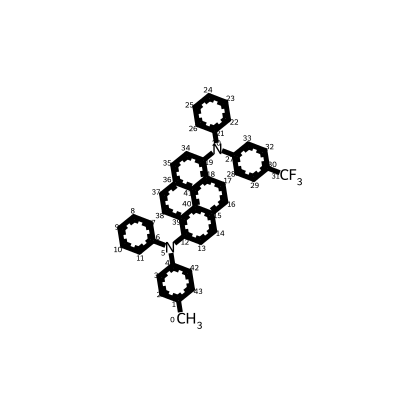 Cc1ccc(N(c2ccccc2)c2ccc3ccc4c(N(c5ccccc5)c5ccc(C(F)(F)F)cc5)ccc5ccc2c3c54)cc1